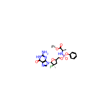 CC(C)OC(=O)[C@@H](C)NP(=O)(OCC1C[C@@](C)(F)[C@H](n2cnc3c(=O)[nH]c(N)nc32)O1)Oc1ccccc1